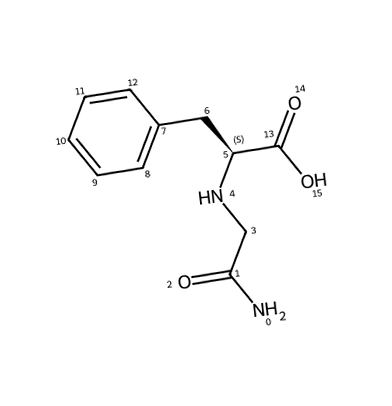 NC(=O)CN[C@@H](Cc1ccccc1)C(=O)O